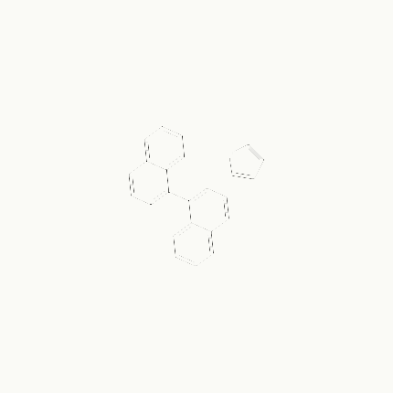 c1ccc2c(-c3cccc4ccccc34)cccc2c1.c1ccoc1